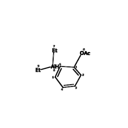 CC(=O)Oc1ccccc1.C[CH2][AlH][CH2]C